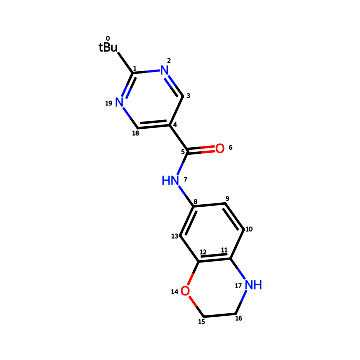 CC(C)(C)c1ncc(C(=O)Nc2ccc3c(c2)OCCN3)cn1